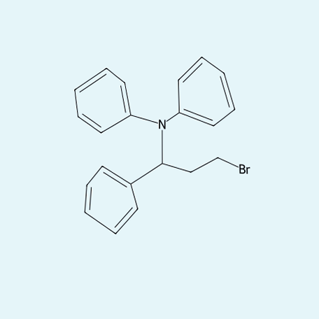 BrCCC(c1ccccc1)N(c1ccccc1)c1ccccc1